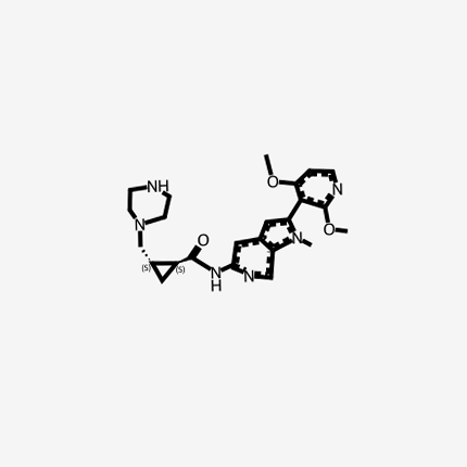 COc1ccnc(OC)c1-c1cc2cc(NC(=O)[C@H]3C[C@@H]3CN3CCNCC3)ncc2n1C